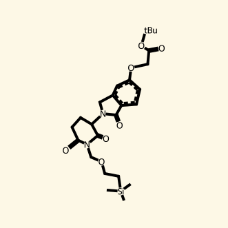 CC(C)(C)OC(=O)COc1ccc2c(c1)CN(C1CCC(=O)N(COCC[Si](C)(C)C)C1=O)C2=O